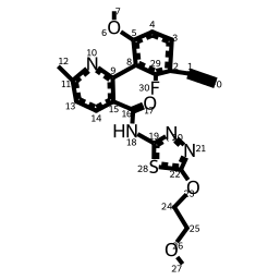 C#Cc1ccc(OC)c(-c2nc(C)ccc2C(=O)Nc2nnc(OCCOC)s2)c1F